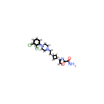 NC(=O)c1nc([C@H]2C[C@H](CCN3CCN(c4cccc(Cl)c4Cl)CC3)C2)co1